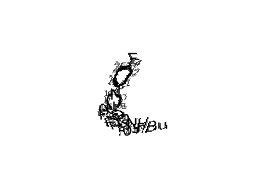 CCCCSNS(=O)(=O)C(F)(F)CC(F)(F)S(=O)(=O)N1CCN(c2ccc(F)cc2)CC1